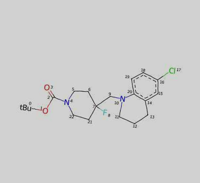 CC(C)(C)OC(=O)N1CCC(F)(CN2CCCc3cc(Cl)ccc32)CC1